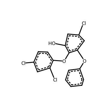 Oc1cc(Cl)cc(Oc2ccccc2)c1Oc1ccc(Cl)cc1Cl